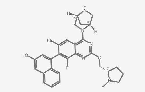 CN1CCC[C@H]1COc1nc(N2C[C@H]3C[C@@H]2CN3)c2cc(Cl)c(-c3cc(O)cc4ccccc34)c(F)c2n1